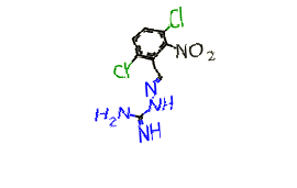 N=C(N)NN=Cc1c(Cl)ccc(Cl)c1[N+](=O)[O-]